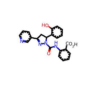 O=C(O)c1ccccc1NC(=O)N1N=C(c2cccnc2)CC1c1ccccc1O